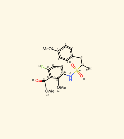 CCC(Cc1ccc(OC)cc1)S(=O)(=O)Nc1ccc(F)c(C(=O)OC)c1OC